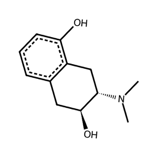 CN(C)[C@H]1Cc2c(O)cccc2C[C@@H]1O